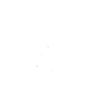 CC(C)(N)Cc1cc2ccccc2cn1